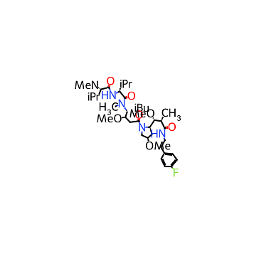 CC[C@H](C)[C@@H]([C@@H](CC(=O)N1C[C@H](OC)C[C@@H]1[C@H](OC)[C@@H](C)C(=O)NCCc1ccc(F)cc1)OC)N(C)C(=O)[C@@H](NC(=O)[C@@H](NC)C(C)C)C(C)C